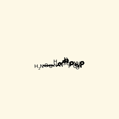 CN(C(=O)CC(=O)Nc1ccc(Oc2ccnc3cc(-c4ccc(CNCCOCCOCCN)cn4)sc23)c(F)c1)c1ccccc1